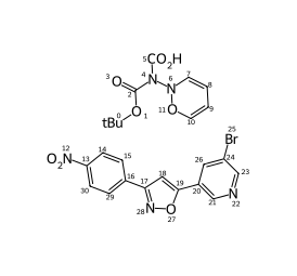 CC(C)(C)OC(=O)N(C(=O)O)N1C=CC=CO1.O=[N+]([O-])c1ccc(-c2cc(-c3cncc(Br)c3)on2)cc1